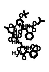 CCCC(NC(=O)[C@@H]1C[C@@H](OC(C)(C)C)CN1C(=O)[C@@H](NC(=O)OCC(C)C)C1CCCCC1)C(=O)C(=O)NCC(=O)NC(C(N)=O)c1cccc2c1OCO2